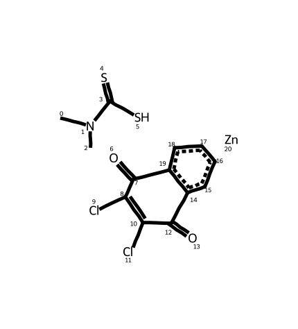 CN(C)C(=S)S.O=C1C(Cl)=C(Cl)C(=O)c2ccccc21.[Zn]